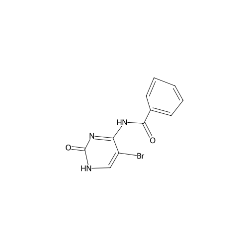 O=C(Nc1nc(=O)[nH]cc1Br)c1ccccc1